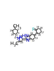 Cc1ccc(Cn2nc(-c3nc4ccc(-c5ccccc5F)cc4[nH]3)cc2C)cc1